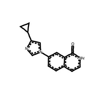 O=c1[nH]ccc2ccc(-n3cnc(C4CC4)c3)cc12